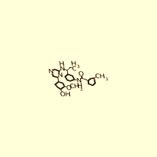 CC[C@H](Nc1cncc(-c2ccc(O)c(OC)c2)n1)c1cccc(NC(=O)c2cccc(C)c2)c1